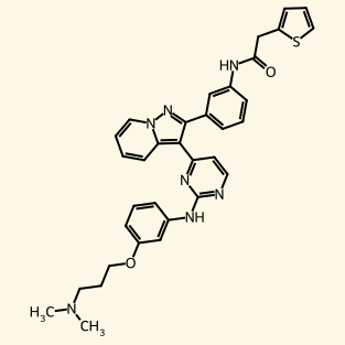 CN(C)CCCOc1cccc(Nc2nccc(-c3c(-c4cccc(NC(=O)Cc5cccs5)c4)nn4ccccc34)n2)c1